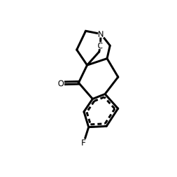 O=C1c2cc(F)ccc2CC2CN3CCC12CC3